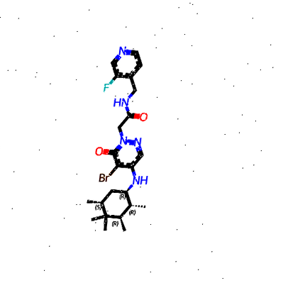 C[C@@H]1[C@@H](C)C(C)(C)[C@@H](C)C[C@H]1Nc1cnn(CC(=O)NCc2ccncc2F)c(=O)c1Br